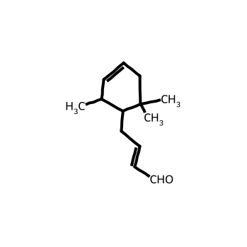 CC1C=CCC(C)(C)C1C/C=C/C=O